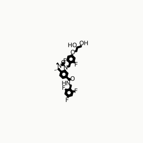 C[C@H]1c2ccc(C(=O)NCc3c(F)cc(F)cc3F)cc2N(Cc2c(F)cc(OC[C@H](O)CO)cc2F)C(=O)N1C